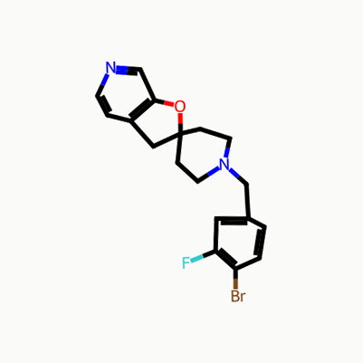 Fc1cc(CN2CCC3(CC2)Cc2ccncc2O3)ccc1Br